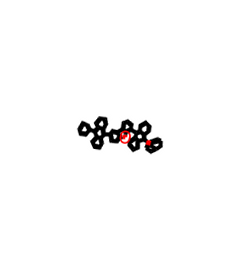 c1ccc(-c2c3ccccc3c(-c3ccc4oc5c(-c6c7ccccc7c(C7C8CC9CC(C8)CC7C9)c7ccccc67)cccc5c4c3)c3ccccc23)cc1